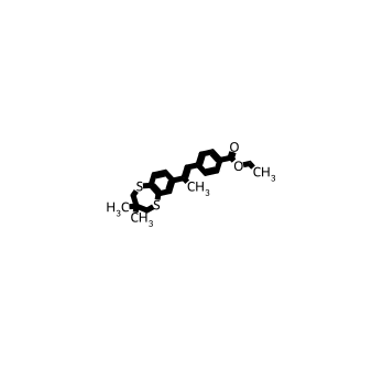 CCOC(=O)c1ccc(C=C(C)c2ccc3c(c2)SCC(C)(C)CS3)cc1